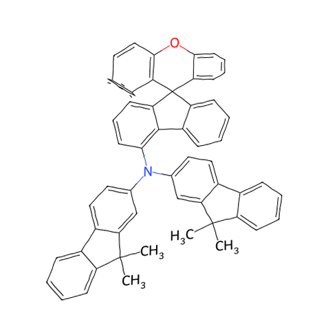 CC1(C)c2ccccc2-c2ccc(N(c3ccc4c(c3)C(C)(C)c3ccccc3-4)c3cccc4c3-c3ccccc3C43c4ccccc4Oc4ccc5ccccc5c43)cc21